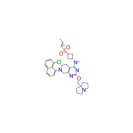 C/C=C/S(=O)(=O)[C@H]1C[C@H](N(C)c2nc(OCC34CCCN3CCC4)nc3c2CCN(c2cccc4cccc(Cl)c24)C3)C1